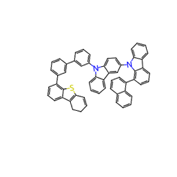 C1=Cc2sc3c(-c4cccc(-c5cccc(-n6c7ccccc7c7cc(-n8c9ccccc9c9cccc(-c%10cccc%11ccccc%10%11)c98)ccc76)c5)c4)cccc3c2CC1